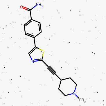 CN1CCC(C#Cc2ncc(-c3ccc(C(N)=O)cc3)s2)CC1